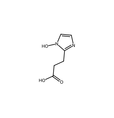 O=C(O)CCc1nccn1O